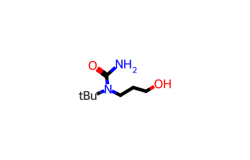 CC(C)(C)N(CCCO)C(N)=O